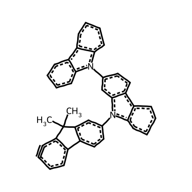 CC1(C)c2c#cccc2-c2ccc(-n3c4ccccc4c4ccc(-n5c6ccccc6c6ccccc65)cc43)cc21